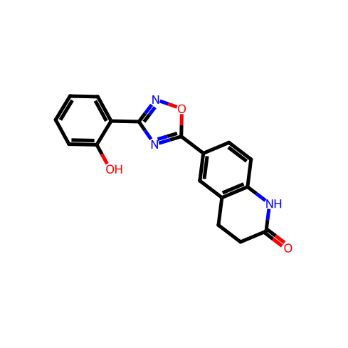 O=C1CCc2cc(-c3nc(-c4ccccc4O)no3)ccc2N1